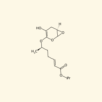 CC(C)OC(=O)/C=C/CC[C@@H](C)OC1=C(O)C[C@H]2OC2O1